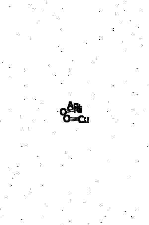 [Ag].[O]=[Cu].[O]=[Ni]